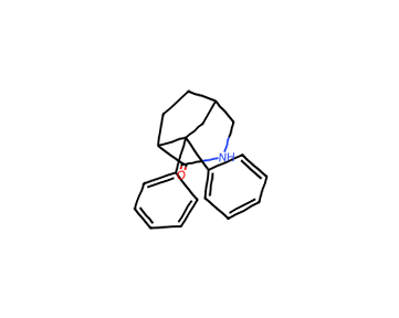 O=C1NCC2CCC1C(c1ccccc1)(c1ccccc1)C2